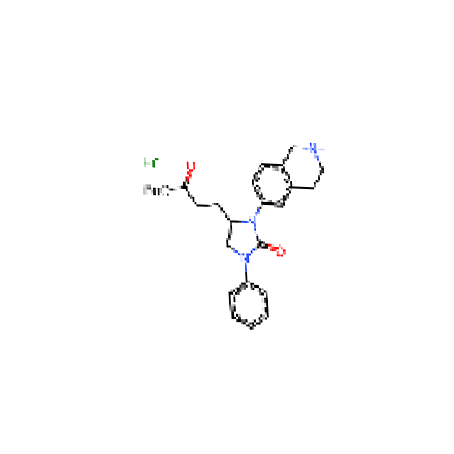 CC(C)COC(=O)CCC1CN(c2ccccc2)C(=O)N1c1ccc2c(c1)CCNC2.Cl